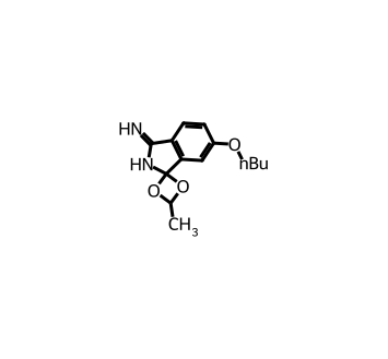 CCCCOc1ccc2c(c1)C1(NC2=N)OC(C)O1